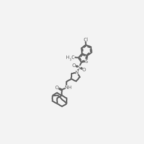 Cc1c(S(=O)(=O)N2CCC(CNC(=O)C34CC5CC(CC(C5)C3)C4)C2)sc2ccc(Cl)cc12